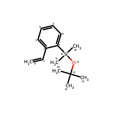 C=Cc1ccccc1[Si](C)(C)OC(C)(C)C